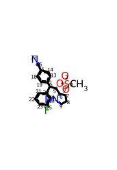 CS(=O)(=O)OC(C1CCCN1)C(c1ccc(C#N)cc1)c1cccc(F)c1